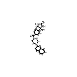 CC(C)C1(c2ccc(C(=O)N3CCN(c4ccc5ccccc5n4)CC3)cc2)NC(=O)NC1=O